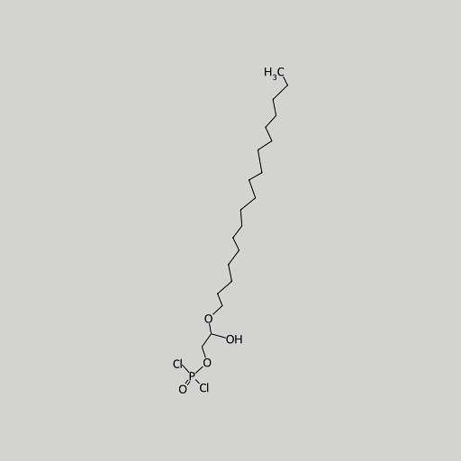 CCCCCCCCCCCCCCCCCCOC(O)COP(=O)(Cl)Cl